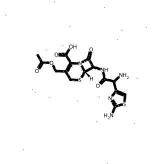 CC(=O)OCC1=C(C(=O)O)N2C(=O)C(NC(=O)C(N)c3csc(N)n3)[C@@H]2SC1